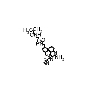 C=C(C)C(=O)NCCOC(=O)NCc1ccc(Cn2c(-c3nccs3)nc3c(N)nc4ccccc4c32)cc1